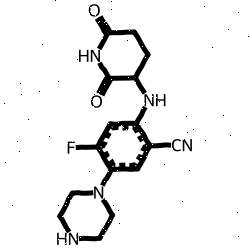 N#Cc1cc(N2CCNCC2)c(F)cc1NC1CCC(=O)NC1=O